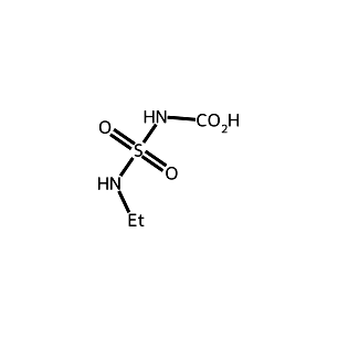 CCNS(=O)(=O)NC(=O)O